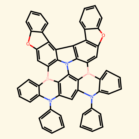 c1ccc(N2c3ccccc3B3c4c2cc2c5c4-n4c6c3cc3oc7ccccc7c3c6c3c6c(cc(c34)B5c3ccccc3N2c2ccccc2)oc2ccccc26)cc1